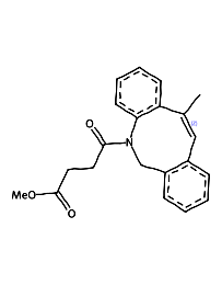 COC(=O)CCC(=O)N1Cc2ccccc2/C=C(/C)c2ccccc21